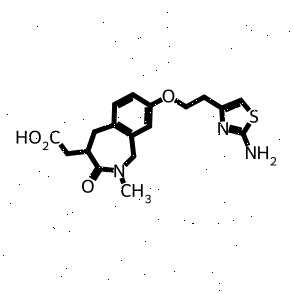 CN1Cc2cc(OCCc3csc(N)n3)ccc2CC(CC(=O)O)C1=O